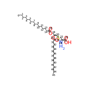 CCCCCCCCCCCCCCCC(=O)OCC(CSCC(N)C(=O)O)OC(=O)CCCCCCCCCCCCCCC